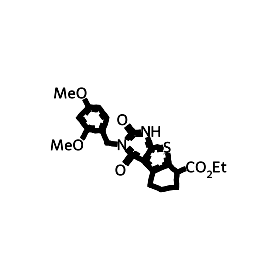 CCOC(=O)C1CCCc2c1sc1[nH]c(=O)n(Cc3ccc(OC)cc3OC)c(=O)c21